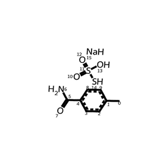 Cc1ccc(C(N)=O)cc1.O=S(=O)(O)S.[NaH]